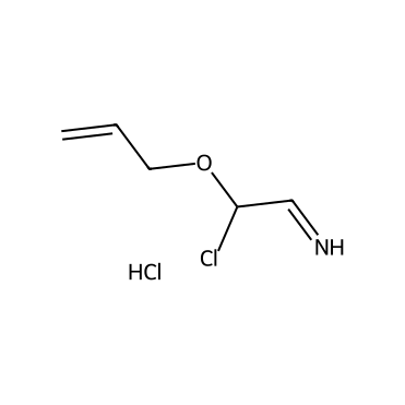 C=CCOC(Cl)C=N.Cl